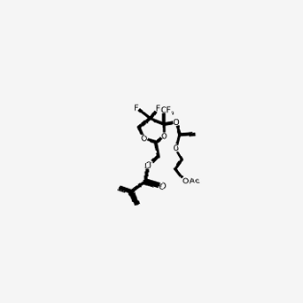 C=C(C)C(=O)OCC1OCC(F)(F)C(OC(C)OCCOC(C)=O)(C(F)(F)F)O1